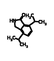 CC(C)c1ccc(C(C)C)c2c1CNC2=O